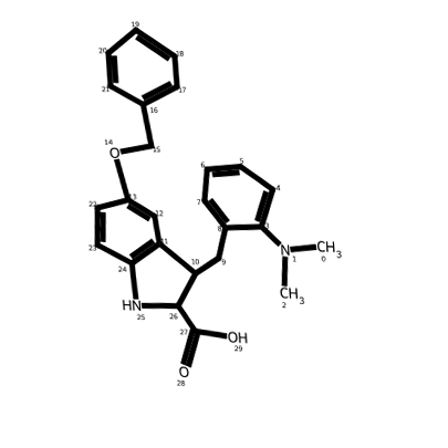 CN(C)c1ccccc1CC1c2cc(OCc3ccccc3)ccc2NC1C(=O)O